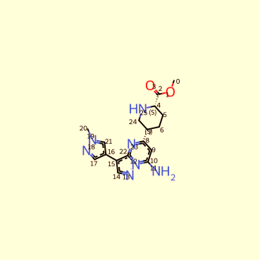 COC(=O)[C@@H]1CC[C@H](c2cc(N)n3ncc(-c4cnn(C)c4)c3n2)CN1